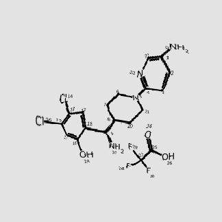 Nc1ccc(N2CCC([C@@H](N)c3cc(Cl)c(Cl)cc3O)CC2)nc1.O=C(O)C(F)(F)F